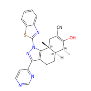 C[C@H]1C(O)=C(C#N)C[C@@]2(C)c3c(c(-c4ccncn4)nn3-c3nc4ccccc4s3)CC[C@H]12